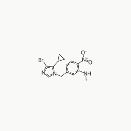 CNc1cc(Cn2cnc(Br)c2C2CC2)ccc1[N+](=O)[O-]